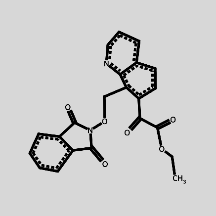 CCOC(=O)C(=O)c1ccc2cccnc2c1CON1C(=O)c2ccccc2C1=O